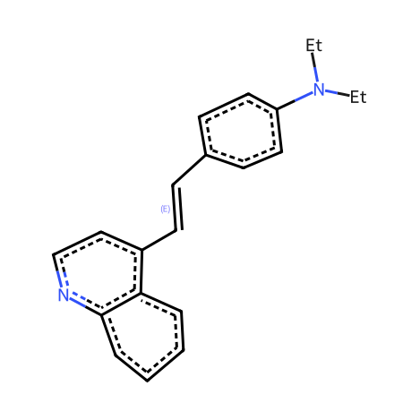 CCN(CC)c1ccc(/C=C/c2ccnc3ccccc23)cc1